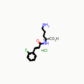 Cl.NCCC[C@H](NC(=O)C=Cc1ccccc1F)C(=O)O